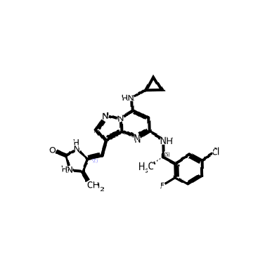 C=c1[nH]c(=O)[nH]/c1=C\c1cnn2c(NC3CC3)cc(N[C@@H](C)c3cc(Cl)ccc3F)nc12